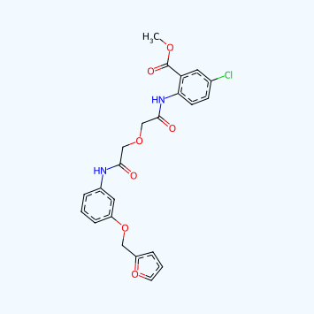 COC(=O)c1cc(Cl)ccc1NC(=O)COCC(=O)Nc1cccc(OCc2ccco2)c1